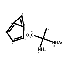 CC(=O)NC(C)(N)C(=O)O.c1cc2cc-2c1